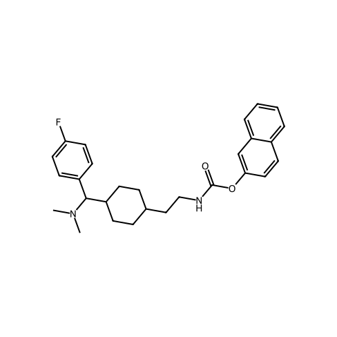 CN(C)C(c1ccc(F)cc1)C1CCC(CCNC(=O)Oc2ccc3ccccc3c2)CC1